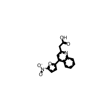 O=C(O)Cc1cc(-c2ccc([N+](=O)[O-])o2)c2ccccc2n1